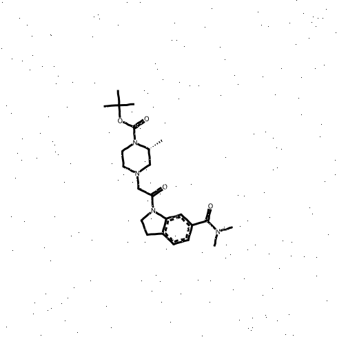 C[C@@H]1CN(CC(=O)N2CCc3ccc(C(=O)N(C)C)cc32)CCN1C(=O)OC(C)(C)C